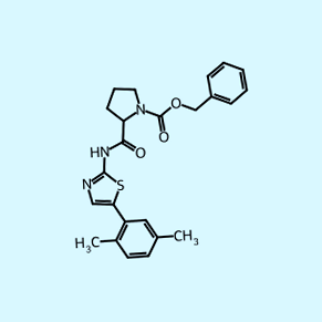 Cc1ccc(C)c(-c2cnc(NC(=O)C3CCCN3C(=O)OCc3ccccc3)s2)c1